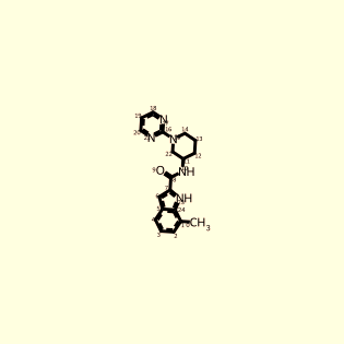 Cc1cccc2cc(C(=O)NC3CCCN(c4ncccn4)C3)[nH]c12